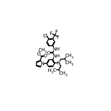 COC(=O)c1cccn1-c1ccc(N(CC(C)C)CC(C)C)c(NC(=O)Nc2ccc(Cl)c(C(F)(F)F)c2)c1